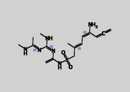 C=C=C/C(N)=C\C=C(/C)CS(=O)(=O)NC(=C)/N=C(\N=C(/C)NC)NC